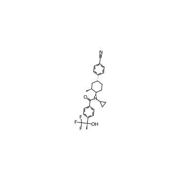 C[C@H]1C[C@H](c2ccc(C#N)cc2)CC[C@H]1N(C(=O)c1ccc([C@](C)(O)C(F)(F)F)cc1)C1CC1